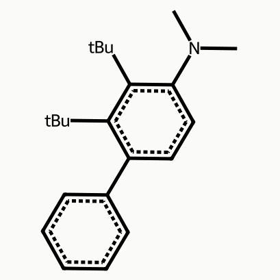 CN(C)c1ccc(-c2ccccc2)c(C(C)(C)C)c1C(C)(C)C